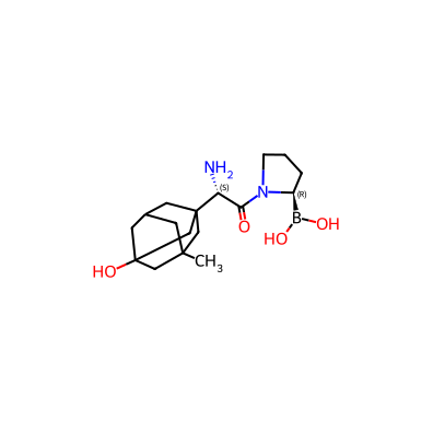 CC12CC3CC(O)(C1)CC([C@H](N)C(=O)N1CCC[C@H]1B(O)O)(C3)C2